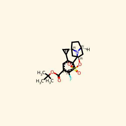 CC(C)(C)OC(=O)c1cc(C2CC2)c(CN2[C@@H]3CC[C@H]2C[C@@H](OS(C)(=O)=O)C3)cc1F